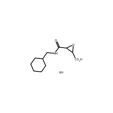 O=C(O)C1OC1C(=O)NCC1CCCCC1.[KH]